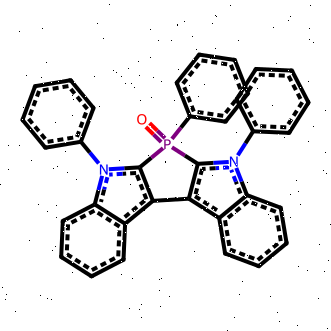 O=P1(c2ccccc2)c2c(c3ccccc3n2-c2ccccc2)-c2c1n(-c1ccccc1)c1ccccc21